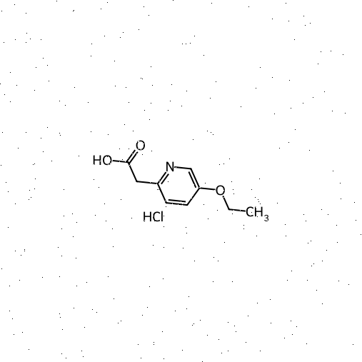 CCOc1ccc(CC(=O)O)nc1.Cl